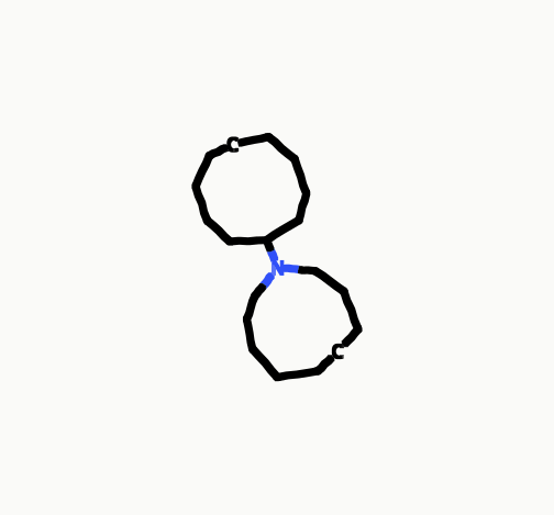 C1CCCCC(N2CCCCCCCCC2)CCCC1